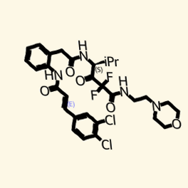 CC(C)[C@H](NC(=O)Cc1ccccc1NC(=O)/C=C/c1ccc(Cl)c(Cl)c1)C(=O)C(F)(F)C(=O)NCCN1CCOCC1